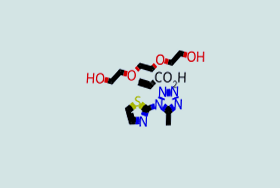 C=CC(=O)O.Cc1nnnn1-c1nccs1.OCCOCCOCCO